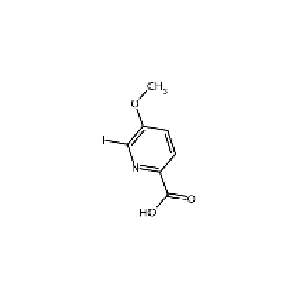 COc1ccc(C(=O)O)nc1I